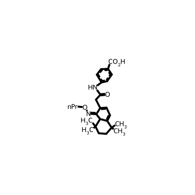 CCCON=C1C(CC(=O)Nc2ccc(C(=O)O)cc2)=CC=C2C1C(C)(C)CCC2(C)C